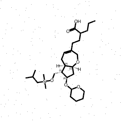 CCCC(CCC1=CC[C@@H]2[C@@H](CO[Si](C)(C)CC(C)C)[C@H](OC3CCCCO3)C[C@@H]2OC1)C(=O)O